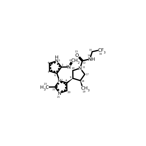 C=Nc1[nH]ccc1-n1c([C@H]2CN(C(=O)NCC(F)(F)F)C[C@H]2C)cnc1C